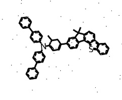 CC1CC(c2ccc3c(c2)C(C)(C)c2ccc4c(sc5ccccc54)c2-3)=CC=C1N(c1ccc(-c2ccccc2)cc1)c1ccc(-c2ccccc2)cc1